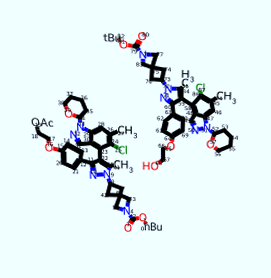 CCCCOC(=O)N1CC2(CC(n3nc(-c4ccc(OCCOC(C)=O)cc4)c(-c4c(Cl)c(C)cc5c4cnn5C4CCCCO4)c3C)C2)C1.Cc1cc2c(cnn2C2CCCCO2)c(-c2c(-c3ccc(OCCO)cc3)nn(C3CC4(C3)CN(C(=O)OC(C)(C)C)C4)c2C)c1Cl